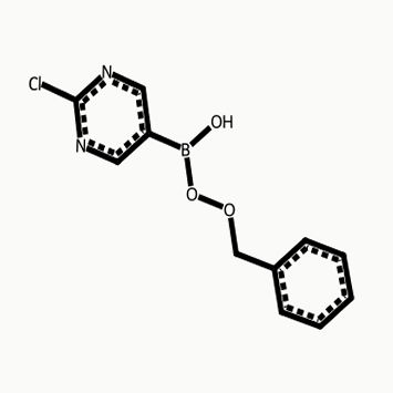 OB(OOCc1ccccc1)c1cnc(Cl)nc1